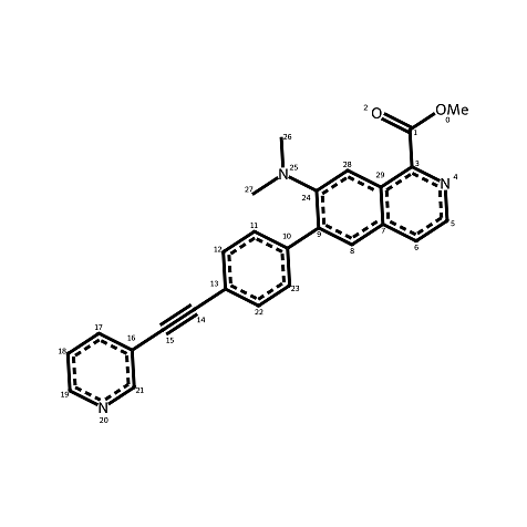 COC(=O)c1nccc2cc(-c3ccc(C#Cc4cccnc4)cc3)c(N(C)C)cc12